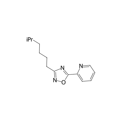 CC(C)CCCCc1noc(-c2ccccn2)n1